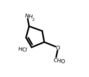 Cl.NC1C=CC(OC=O)C1